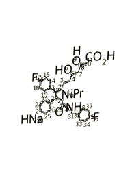 CC(C)n1c(C=C[C@@H](O)C[C@@H](O)CC(=O)O)c(-c2ccc(F)cc2)c(-c2ccccc2)c1C(=O)NCc1ccc(F)cc1.[NaH]